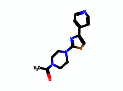 CC(=O)N1CCN(c2nc(-c3ccncc3)cs2)CC1